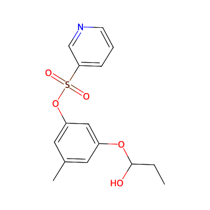 CCC(O)Oc1cc(C)cc(OS(=O)(=O)c2cccnc2)c1